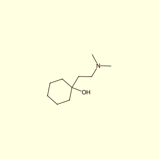 CN(C)CCC1(O)CCCCC1